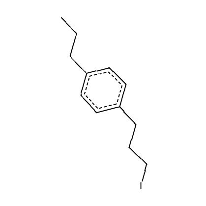 CCCc1ccc(CCCI)cc1